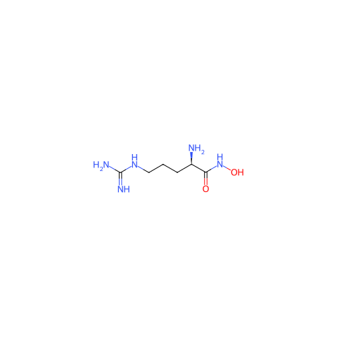 N=C(N)NCCC[C@@H](N)C(=O)NO